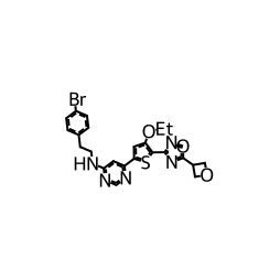 CCOc1cc(-c2cc(NCCc3ccc(Br)cc3)ncn2)sc1-c1noc(C2COC2)n1